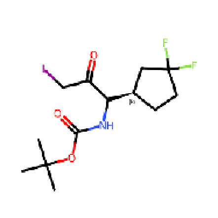 CC(C)(C)OC(=O)NC(C(=O)CI)[C@@H]1CCC(F)(F)C1